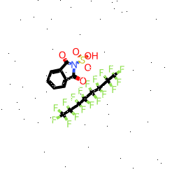 FC(F)(F)C(F)(F)C(F)(F)C(F)(F)C(F)(F)C(F)(F)C(F)(F)C(F)(F)F.O=C1c2ccccc2C(=O)N1S(=O)(=O)O